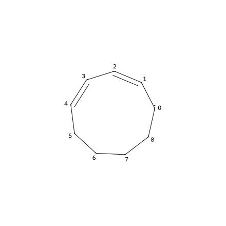 [CH]1C=CC=CCCCC1